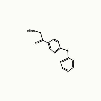 CCCCCCCCCCC(=O)c1ccc(Sc2ccccc2)cc1